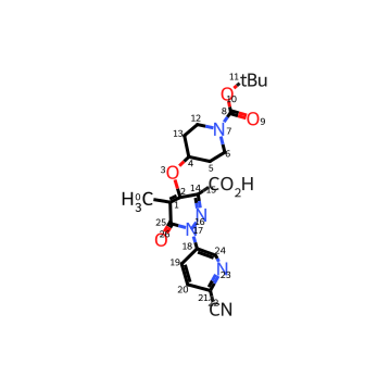 Cc1c(OC2CCN(C(=O)OC(C)(C)C)CC2)c(C(=O)O)nn(-c2ccc(C#N)nc2)c1=O